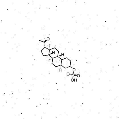 CC(=O)[C@H]1CC[C@H]2[C@@H]3CC[C@@H]4C[C@H](OS(=O)(=O)O)CC[C@]4(C)[C@H]3CC[C@]12C